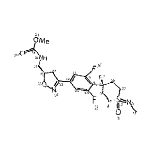 CN=[S@]1(=O)CC[C@](F)(c2c(F)cc(C3=NO[C@@H](CNC(=O)OC)C3)cc2F)CC1